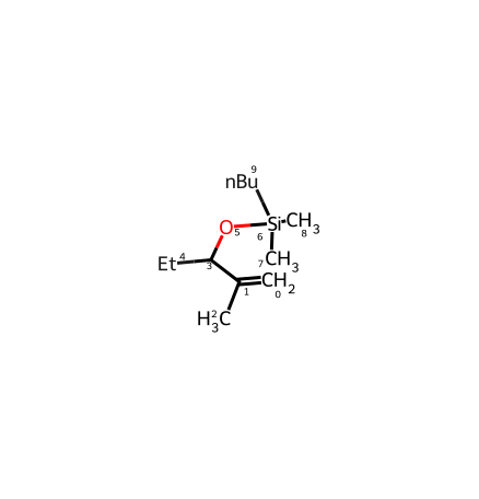 C=C(C)C(CC)O[Si](C)(C)CCCC